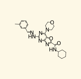 Cc1cccc(/C=N/Nc2nc(N3CCOCC3)c3oc(C(=O)NC4CCCCC4)nc3n2)c1